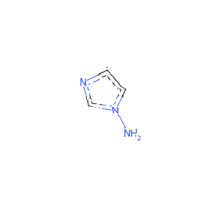 Nn1c[c]nc1